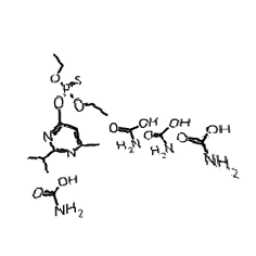 CCOP(=S)(OCC)Oc1cc(C)nc(C(C)C)n1.NC(=O)O.NC(=O)O.NC(=O)O.NC(=O)O